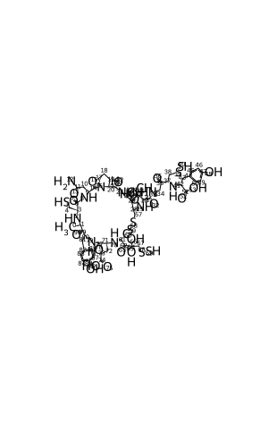 CC1N[C@@H](CS)C(=O)N[C@@H](CC(N)=O)C(=O)N2CCC[C@H]2C(=O)N[C@@H](C)C(=O)C(N[C@H](C(=O)NCC(=O)C(CSS)N[C@@H](Cc2ccc(O)cc2)C(=O)O)[C@@H](C)O)CSSCC(C(=O)C(O)(O)CSS)N[C@@H](CCC(=O)O)C(=O)N[C@@H](Cc2ccc(O)cc2)C1=O